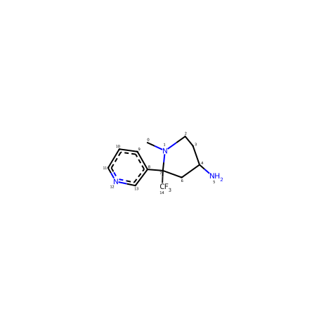 CN1CCC(N)CC1(c1cccnc1)C(F)(F)F